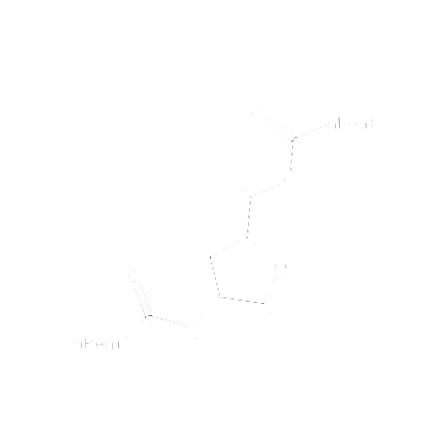 CCCCCC(=O)OCC1CC(OC(=O)CCCCC)CO1